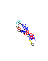 CCOc1cccc(-c2cc(CN3CCN(c4ccc(C(=O)NS(=O)(=O)c5ccc(NCCSc6ccccc6)c([N+](=O)[O-])c5)nn4)CC3)cc(C(F)(F)F)c2)c1